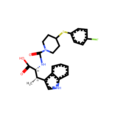 C[C@@H](c1c[nH]c2ccccc12)[C@@H](NC(=O)N1CCC(Sc2ccc(F)cc2)CC1)C(=O)O